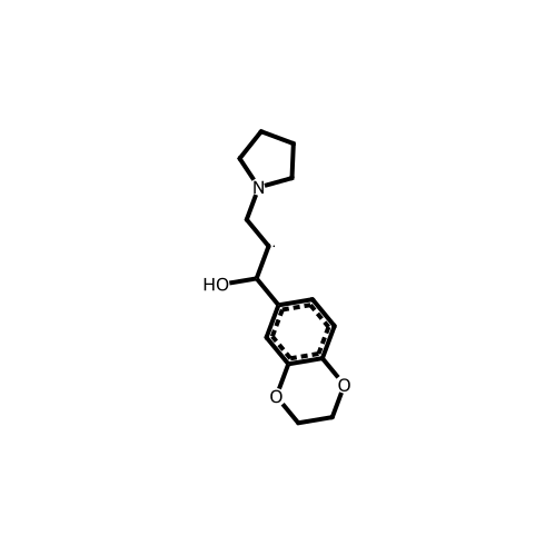 OC([CH]CN1CCCC1)c1ccc2c(c1)OCCO2